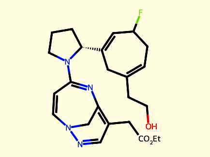 CCOC(=O)CC1=C2CN(C=CC(N3CCC[C@@H]3C3=CC(F)CC=C(CCO)C3)=N2)N=C1